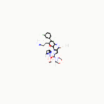 CSc1nc2c(F)c(-c3cccc(Cl)c3C)c(CCC#N)cc2c2c1cc([C@@H](C)N1CCOCC1=O)n2[C@H]1[C@@H]2C[C@H]1N(C(=O)OC(C)(C)C)C2